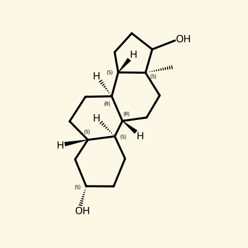 C[C@]12CC[C@H]3[C@@H](CC[C@H]4C[C@@H](O)CC[C@@H]43)[C@@H]1CCC2O